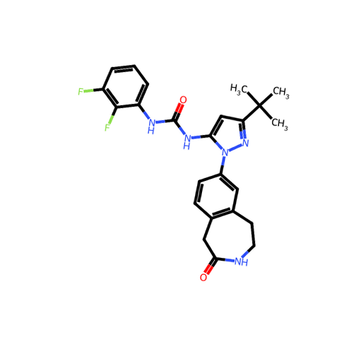 CC(C)(C)c1cc(NC(=O)Nc2cccc(F)c2F)n(-c2ccc3c(c2)CCNC(=O)C3)n1